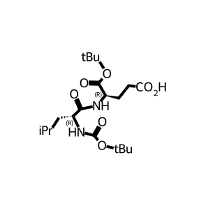 CC(C)C[C@@H](NC(=O)OC(C)(C)C)C(=O)N[C@H](CCC(=O)O)C(=O)OC(C)(C)C